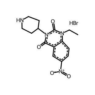 Br.CCn1c(=O)n(C2CCNCC2)c(=O)c2cc([N+](=O)[O-])ccc21